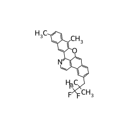 Cc1ccc2c(C)c3c(cc2c1)-c1nccc2c1c(cc1ccc(CC(C)(C)C(F)(F)F)cc12)O3